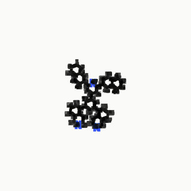 c1ccc2cc(-c3cc(-c4cc(-c5cccc6cnccc56)cc(-c5cccc6cnccc56)c4)cc(-c4ccc5ccccc5c4)n3)ccc2c1